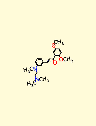 COc1ccc(OC)c(C(=O)/C=C/c2cccc(N(C)CCN(C)C)c2)c1